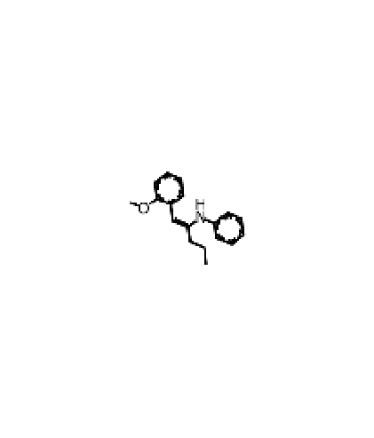 CCC/C(=C/c1ccccc1OC)Nc1ccccc1